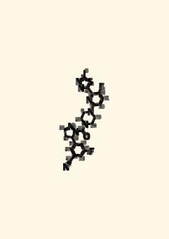 Cc1nnc(-c2nc(N3CCN(C(=O)N4N=CCC4c4cc(F)cc(C#N)c4)CC3)ccc2F)s1